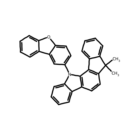 CC1(C)c2ccccc2-c2c1ccc1c3ccccc3n(-c3ccc4oc5ccccc5c4c3)c21